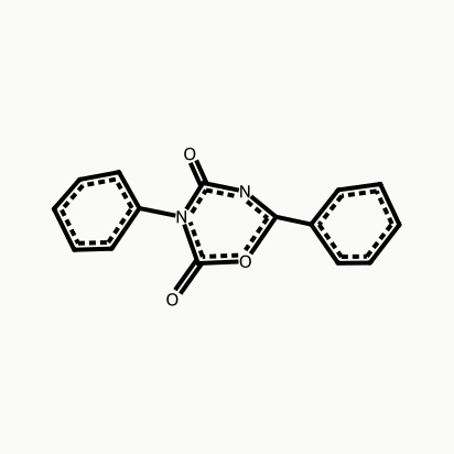 O=c1nc(-c2ccccc2)oc(=O)n1-c1ccccc1